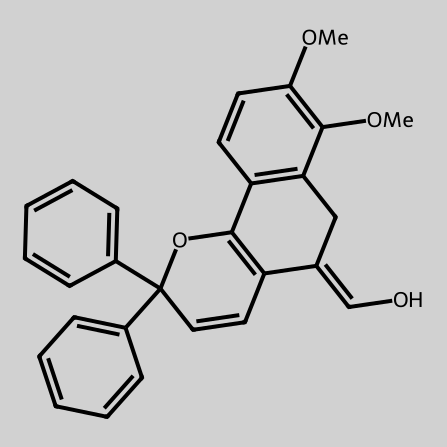 COc1ccc2c(c1OC)CC(=CO)C1=C2OC(c2ccccc2)(c2ccccc2)C=C1